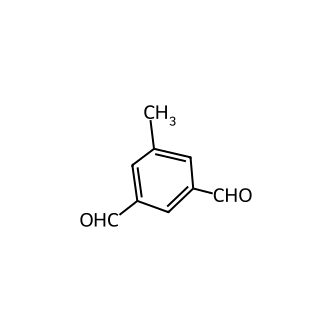 Cc1cc(C=O)cc(C=O)c1